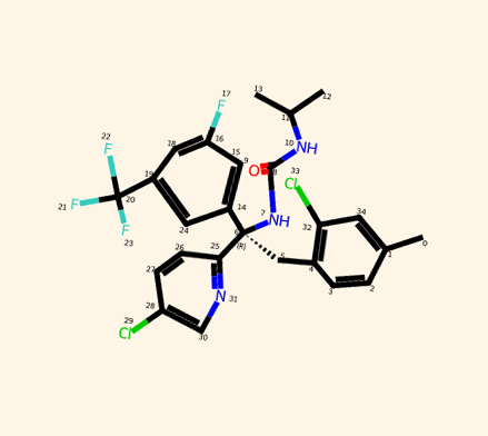 Cc1ccc(C[C@@](NC(=O)NC(C)C)(c2cc(F)cc(C(F)(F)F)c2)c2ccc(Cl)cn2)c(Cl)c1